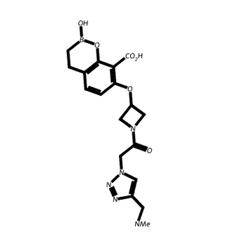 CNCc1cn(CC(=O)N2CC(Oc3ccc4c(c3C(=O)O)OB(O)CC4)C2)nn1